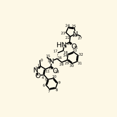 Cc1noc(-c2ccccc2)c1C(=O)N(C)[C@H](CCNC(=O)C1CC=CN1C)Cc1ccccc1